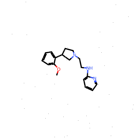 COc1ccccc1C1CCN(CCNc2ccccn2)C1